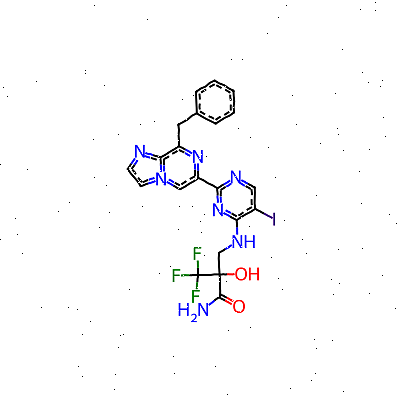 NC(=O)C(O)(CNc1nc(-c2cn3ccnc3c(Cc3ccccc3)n2)ncc1I)C(F)(F)F